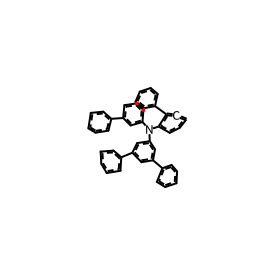 c1ccc(-c2cccc(N(c3cc(-c4ccccc4)cc(-c4ccccc4)c3)c3ccccc3-c3ccccc3)c2)cc1